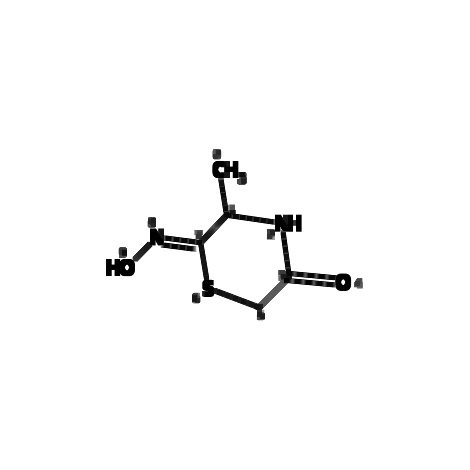 CC1NC(=O)CSC1=NO